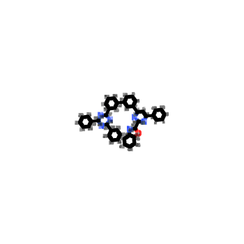 c1ccc(-c2cc(-c3cccc(-c4cccc(-c5nc(-c6ccccc6)nc(-c6ccccc6)n5)c4)c3)nc(-c3nc4ccccc4o3)n2)cc1